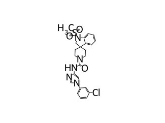 CS(=O)(=O)N1CC2(CCN(C(=O)Nc3cn(-c4cccc(Cl)c4)cn3)CC2)c2ccccc21